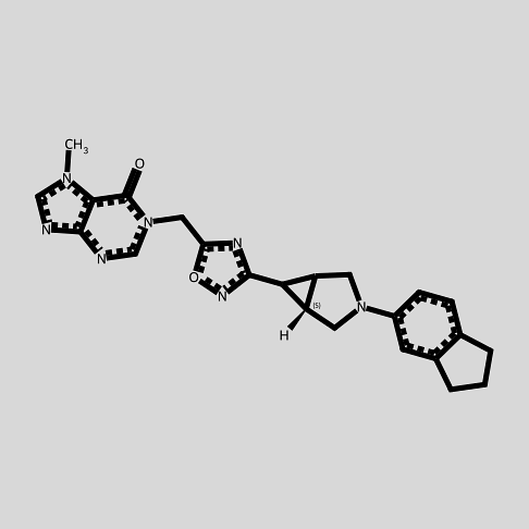 Cn1cnc2ncn(Cc3nc(C4C5CN(c6ccc7c(c6)CCC7)C[C@@H]54)no3)c(=O)c21